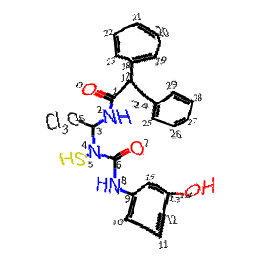 O=C(NC(N(S)C(=O)Nc1cccc(O)c1)C(Cl)(Cl)Cl)C(c1ccccc1)c1ccccc1